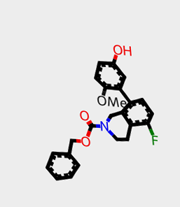 COc1ccc(O)cc1-c1ccc(F)c2c1CN(C(=O)OCc1ccccc1)CC2